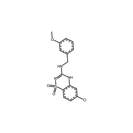 COc1cccc(CNC2=NS(=O)(=O)c3ccc(Cl)cc3N2)c1